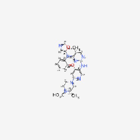 Cc1cnc(Nc2ccc(N3CCN(C(=O)O)[C@@H](C)C3)nc2)nc1N(C1=CC=CCC1=O)c1cnco1